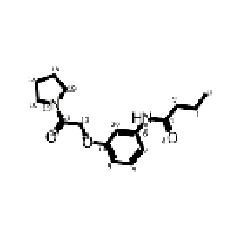 CCCC(=O)Nc1cccc(OCC(=O)N2CCCC2)c1